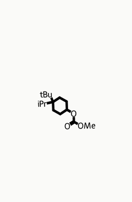 COC(=O)OC1CCC(C(C)C)(C(C)(C)C)CC1